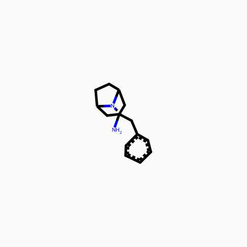 CN1C2CCC1CC(N)(Cc1ccccc1)C2